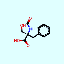 O=CN[C@](CO)(Cc1ccccc1)C(=O)O